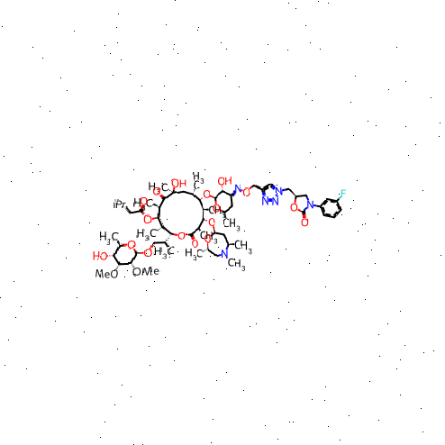 CO[C@@H]1[C@H](O)[C@@H](C)O[C@@H](OCC(C)[C@H]2OC(=O)[C@H](C)[C@@H](O[C@H]3C[C@@H](C)N(C)C[C@H](C)O3)[C@H](C)[C@@H](O[C@@H]3O[C@H](C)CC(=NOCc4cn(C[C@H]5CN(c6cccc(F)c6)C(=O)O5)nn4)[C@H]3O)[C@@H](C)C[C@](C)(O)C(=O)[C@H](C)[C@H](OC(=O)CC(C)C)[C@H]2C)[C@@H]1OC